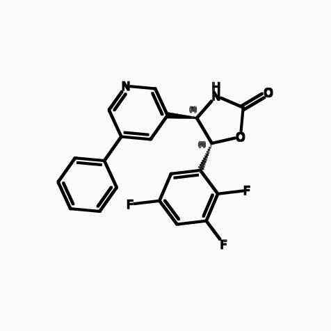 O=C1N[C@H](c2cncc(-c3ccccc3)c2)[C@@H](c2cc(F)cc(F)c2F)O1